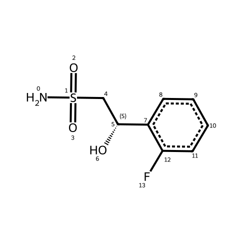 NS(=O)(=O)C[C@@H](O)c1ccccc1F